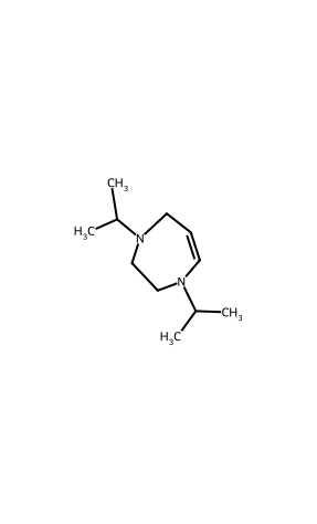 CC(C)N1C=CCN(C(C)C)CC1